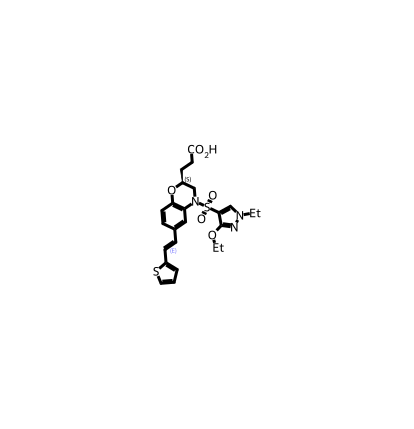 CCOc1nn(CC)cc1S(=O)(=O)N1C[C@H](CCC(=O)O)Oc2ccc(/C=C/c3cccs3)cc21